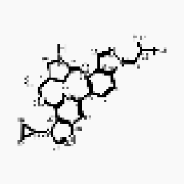 C[C@@H](Oc1nc(-c2ccc3c(cnn3CC(F)F)c2)cc2ncn(C3CC3)c12)[C@H]1CNC(=O)C1